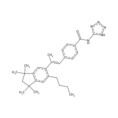 CCCCc1cc2c(cc1C(C)=Cc1ccc(C(=O)Nc3nnn[nH]3)cc1)C(C)(C)CC2(C)C